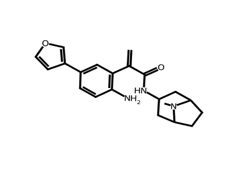 C=C(C(=O)NC1CC2CCC(C1)N2C)c1cc(-c2ccoc2)ccc1N